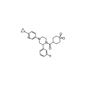 O=C(C1CCS(=O)(=O)CC1)N1CCN(c2ccc(C3CC3)nc2)CC1c1cccc(F)c1